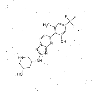 Cc1cc(C(F)(F)F)cc(O)c1-c1ccn2nc(N[C@H]3CNC[C@@H](O)C3)nc2n1